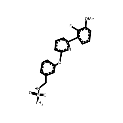 COc1cccc(-c2cccc(Oc3cccc(CNS(C)(=O)=O)c3)n2)c1F